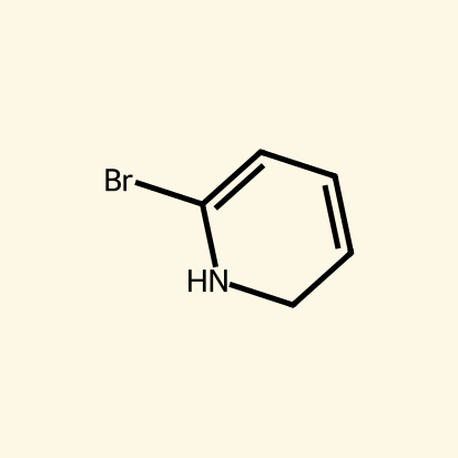 BrC1=CC=CCN1